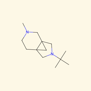 CN1CCC23CN(C(C)(C)C)CC2(C1)C3